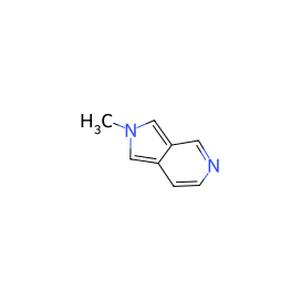 Cn1cc2ccncc2c1